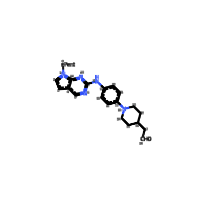 CCCCCn1ccc2cnc(Nc3ccc(N4CCC(CC=O)CC4)cc3)nc21